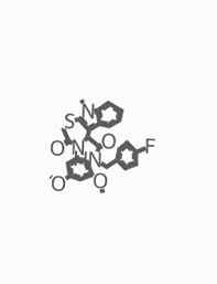 COc1cc(OC)cc(N2C(=O)CSc3c(c4ccccc4n3C)C2C(=O)NCc2ccc(F)cc2)c1